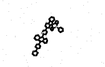 c1ccc(-c2ccc(-c3c4ccccc4c(-c4ccc(-c5ccc6c(c5)C5(c7ccccc7-6)c6ccccc6N(c6ccccc6)c6ccccc65)cn4)c4ccccc34)cc2)cc1